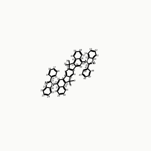 CC1(C)c2cc3c(cc2-c2cc(-n4c(-c5ccccc5)nc5ccccc54)c4ccccc4c21)C(C)(C)c1c-3cc(-n2c(-c3ccccc3)nc3ccccc32)c2ccccc12